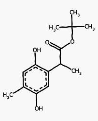 Cc1cc(O)c(C(C)C(=O)OC(C)(C)C)cc1O